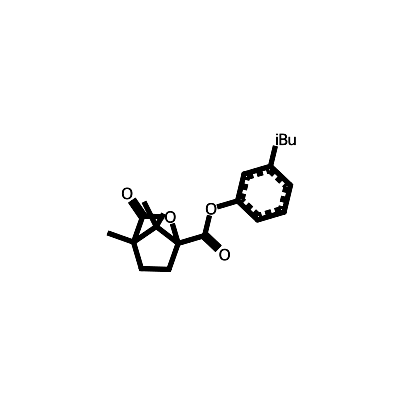 CCC(C)c1cccc(OC(=O)C23CCC(C)(C(=O)O2)C3(C)C)c1